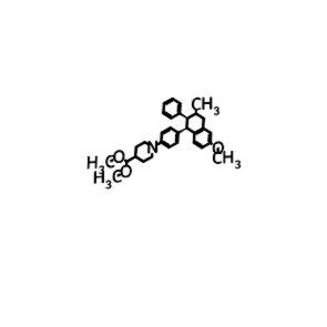 COc1ccc2c(c1)C[C@H](C)[C@H](c1ccccc1)[C@@H]2c1ccc(N2CCC(C(OC)OC)CC2)cc1